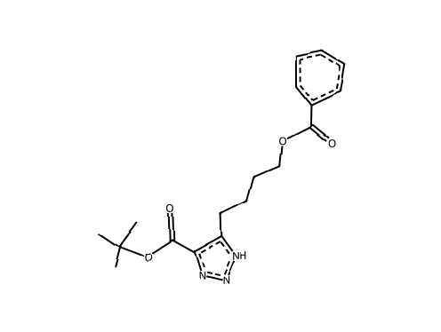 CC(C)(C)OC(=O)c1nn[nH]c1CCCCOC(=O)c1ccccc1